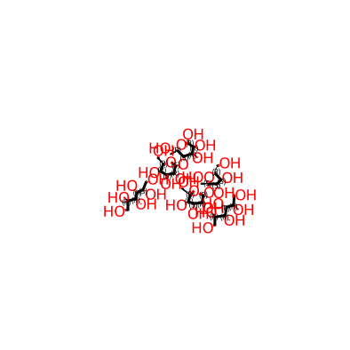 OC[C@@H](O)[C@@H](O)[C@H](O)[C@@H](O)CO.OC[C@@H](O)[C@@H](O)[C@H](O)[C@H](O)CO.OC[C@H]1O[C@@H](O[C@H]2[C@H](O)[C@@H](O)[C@H](O)O[C@@H]2CO)[C@H](O)[C@@H](O)[C@H]1O.OC[C@H]1O[C@@](CO)(O[C@H]2O[C@H](CO)[C@@H](O)[C@H](O)[C@H]2O)[C@@H](O)[C@@H]1O